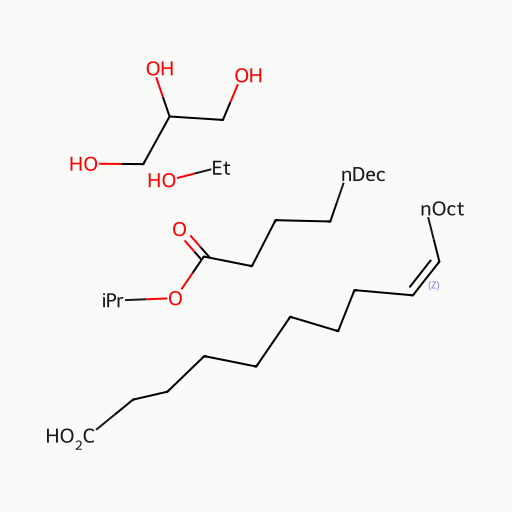 CCCCCCCC/C=C\CCCCCCCC(=O)O.CCCCCCCCCCCCCC(=O)OC(C)C.CCO.OCC(O)CO